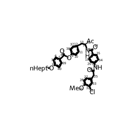 CCCCCCCOc1ccc(C(=O)Oc2ccc(C[C@H](NC(=O)c3ccc(NC(=O)Cc4ccc(OC)c(Cl)c4)cc3)C(C)=O)cc2)cc1